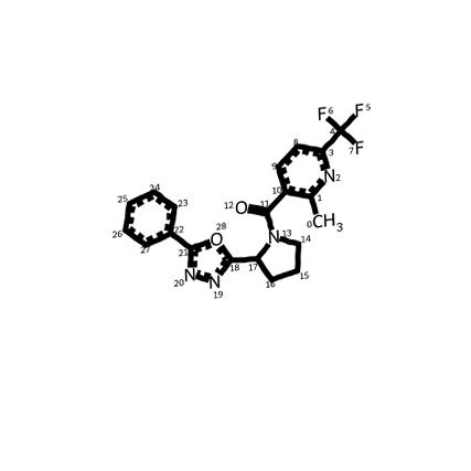 Cc1nc(C(F)(F)F)ccc1C(=O)N1CCCC1c1nnc(-c2ccccc2)o1